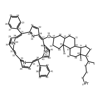 CC(C)CCCC(C)C1CCC2C3CCC4CC(Oc5c6nc(c(-c7ccccc7)c7ccc(cc8nc(c(-c9ccccc9)c9ccc5[nH]9)C=C8)[nH]7)C=C6)CCC4(C)C3CCC12C